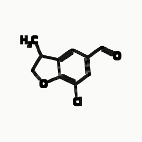 CC1COc2c(Cl)cc(C=O)cc21